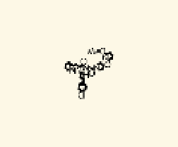 COc1cccc(OC2CCN(C(=O)CNC(=O)[C@H](Cc3ccccn3)NC(=O)C=Cc3ccc(Cl)cc3)CC2)n1